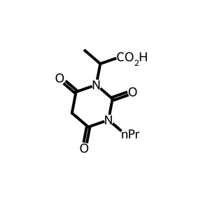 CCCN1C(=O)CC(=O)N(C(C)C(=O)O)C1=O